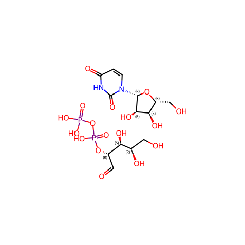 O=C[C@H](OP(=O)(O)OP(=O)(O)O)[C@@H](O)[C@H](O)CO.O=c1ccn([C@@H]2O[C@H](CO)[C@@H](O)[C@H]2O)c(=O)[nH]1